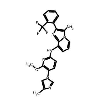 COc1nc(Nc2cccn3c(C)c(-c4ccccc4C(F)(F)F)nc23)ccc1-n1cnc(C)c1